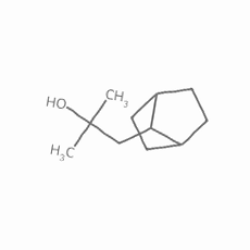 CC(C)(O)CC1C2CCC1CC2